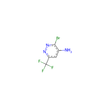 Nc1cc(C(F)(F)F)nnc1Br